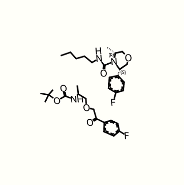 CC(COCC(=O)c1ccc(F)cc1)NC(=O)OC(C)(C)C.CCCCCNC(=O)N1[C@H](C)COC[C@@H]1c1ccc(F)cc1